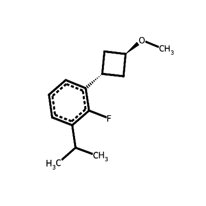 CO[C@H]1C[C@H](c2cccc(C(C)C)c2F)C1